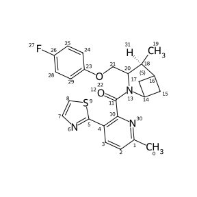 Cc1ccc(-c2nccs2)c(C(=O)N2C3CC(C3)[C@H](C)C2COc2ccc(F)cc2)n1